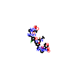 COC(=O)NC(C(=O)N1CCC[C@H]1c1ncc(-c2ccc3c(c2)cc2n3C(c3sc(C(C)C)nc3C)Oc3cc(-c4cnc([C@@H]5CCCN5C(=O)[C@@H](NC(=O)OC)C(C)C)[nH]4)cc(F)c3-2)[nH]1)C1CCOC(C)(C)C1